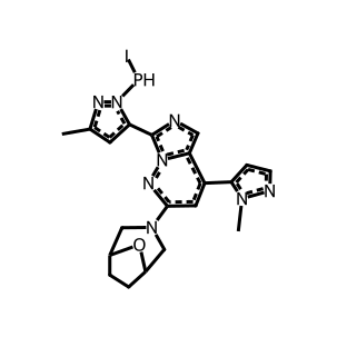 Cc1cc(-c2ncc3c(-c4ccnn4C)cc(N4CC5CCC(C4)O5)nn23)n(PI)n1